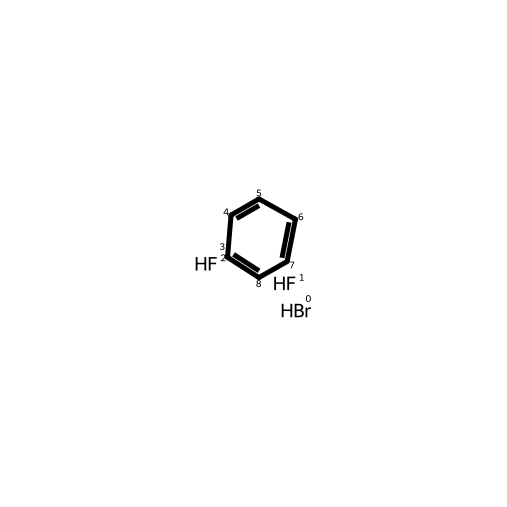 Br.F.F.c1ccccc1